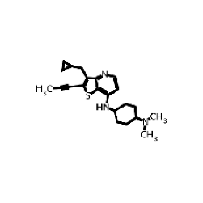 CC#Cc1sc2c(NC3CCC(N(C)C)CC3)ccnc2c1CC1CC1